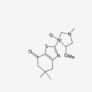 COC1CN(C)C[N+]1([O-])c1nc2c(s1)C(=O)CC(C)(C)C2